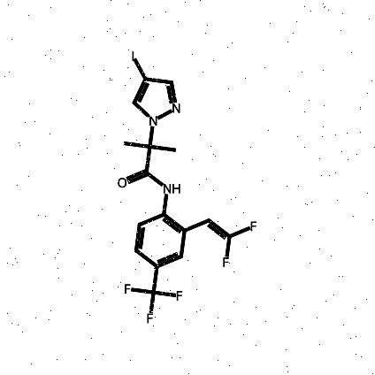 CC(C)(C(=O)Nc1ccc(C(F)(F)F)cc1C=C(F)F)n1cc(I)cn1